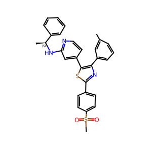 Cc1cccc(-c2nc(-c3ccc(S(C)(=O)=O)cc3)sc2-c2ccnc(N[C@@H](C)c3ccccc3)c2)c1